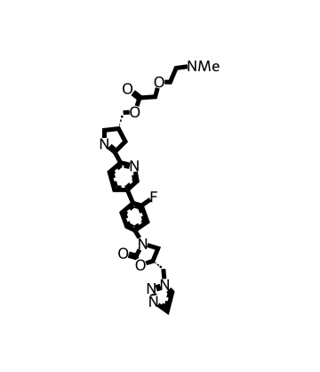 CNCCOCC(=O)OC[C@H]1CN=C(c2ccc(-c3ccc(N4C[C@H](Cn5ccnn5)OC4=O)cc3F)cn2)C1